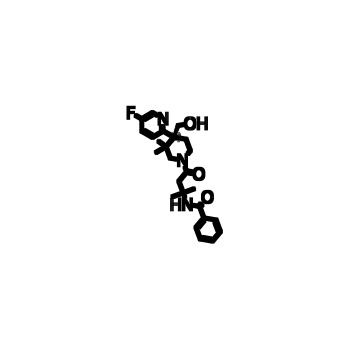 CC(C)(CC(=O)N1CC[C@@](CO)(c2ccc(F)cn2)C(C)(C)C1)NC(=O)c1ccccc1